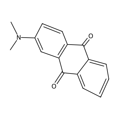 CN(C)c1ccc2c(c1)C(=O)c1ccccc1C2=O